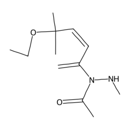 C=C(/C=C\C(C)(C)OCC)N(NC)C(C)=O